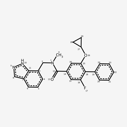 CN(Cc1cccc2cn[nH]c12)C(=O)c1cc(F)c(-c2ccccc2)c(OC2CC2)c1